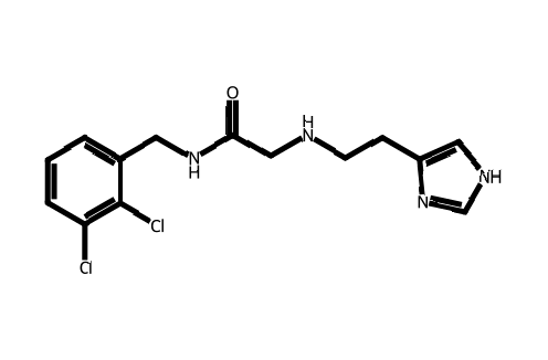 O=C(CNCCc1c[nH]cn1)NCc1cccc(Cl)c1Cl